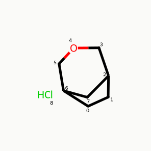 C1CC2COCC1C2.Cl